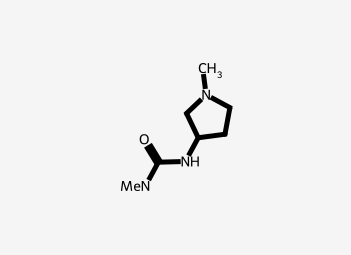 CNC(=O)NC1CCN(C)C1